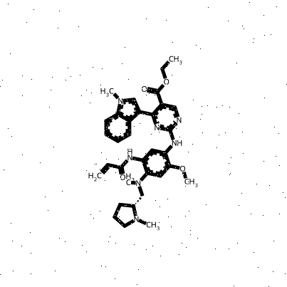 C=CC(=O)Nc1cc(Nc2ncc(C(=O)OCC)c(-c3cn(C)c4ccccc34)n2)c(OC)cc1N(C)C[C@H]1CCCN1C